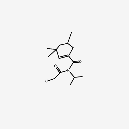 CC1CC(C(=O)N(C(=O)CCl)C(C)C)=CC(C)(C)C1